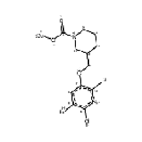 CC(C)(C)OC(=O)N1CCCC(COc2cc(Br)c(Cl)nc2I)C1